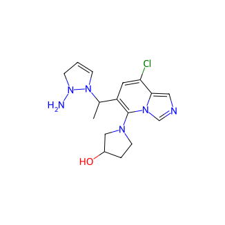 CC(c1cc(Cl)c2cncn2c1N1CCC(O)C1)N1C=CCN1N